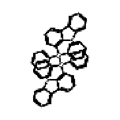 C1=C=C(S(c2ccccc2)(c2cccc3c2sc2ccccc23)S(C2=CC=CCC2)(c2ccccc2)c2cccc3c2sc2ccccc23)C=CC=1